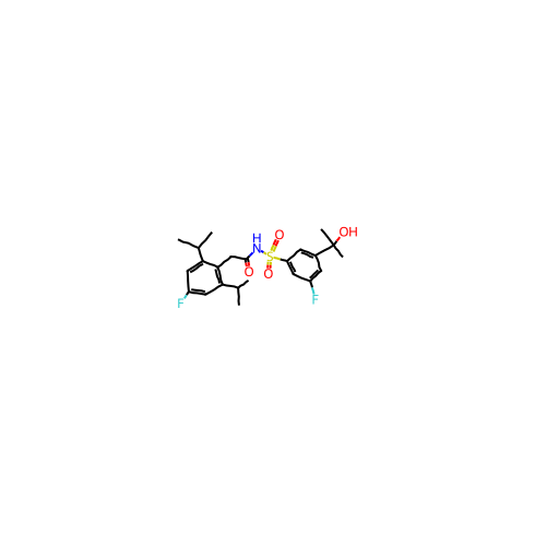 CC(C)c1cc(F)cc(C(C)C)c1CC(=O)NS(=O)(=O)c1cc(F)cc(C(C)(C)O)c1